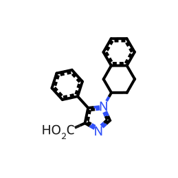 O=C(O)c1ncn(C2CCc3ccccc3C2)c1-c1ccccc1